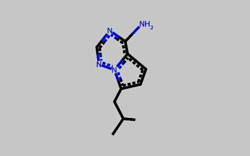 CC(C)Cc1ccc2c(N)ncnn12